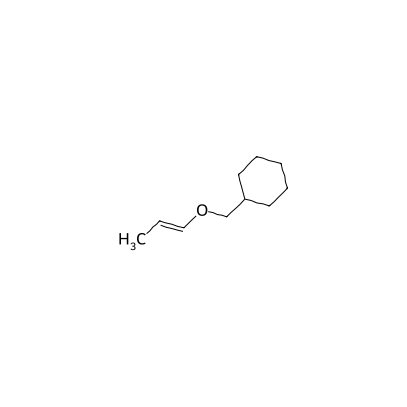 CC=COCC1CCCCC1